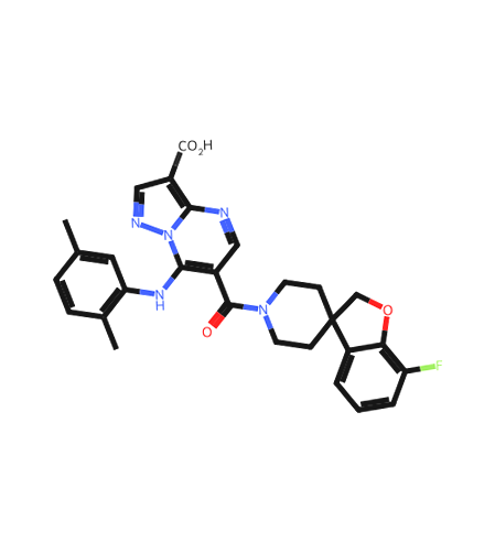 Cc1ccc(C)c(Nc2c(C(=O)N3CCC4(CC3)COc3c(F)cccc34)cnc3c(C(=O)O)cnn23)c1